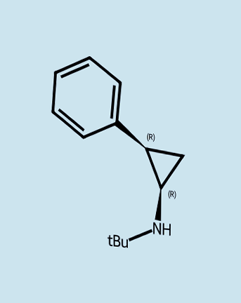 CC(C)(C)N[C@@H]1C[C@@H]1c1ccccc1